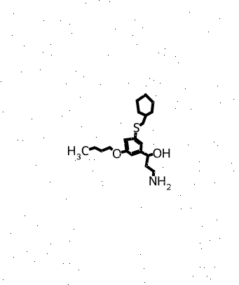 CCCCOc1cc(SCC2CCCCC2)cc(C(O)CCN)c1